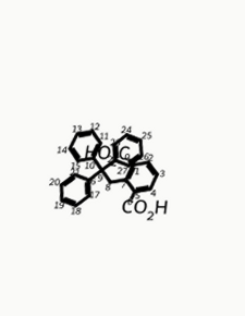 O=C(O)c1cccc(C(=O)O)c1CC(c1ccccc1)(c1ccccc1)c1ccccc1